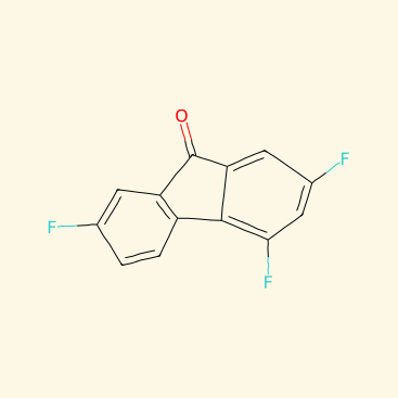 O=C1c2cc(F)ccc2-c2c(F)cc(F)cc21